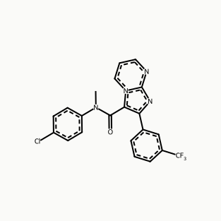 CN(C(=O)c1c(-c2cccc(C(F)(F)F)c2)nc2ncccn12)c1ccc(Cl)cc1